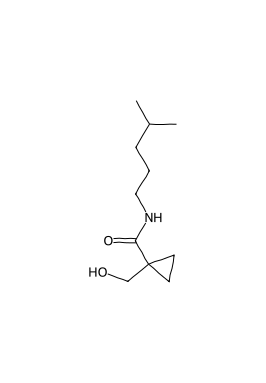 CC(C)CCCNC(=O)C1(CO)CC1